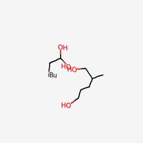 CC(CO)CCCO.CCC(C)CC(O)O